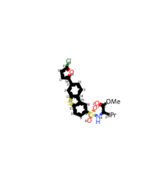 COC(=O)C(NS(=O)(=O)c1ccc2sc3cc(-c4ccc(Cl)o4)ccc3c2c1)C(C)C